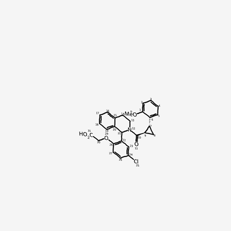 COc1ccccc1[C@@H]1C[C@H]1C(=O)N1CCc2ccccc2C1c1cc(Cl)ccc1OCC(=O)O